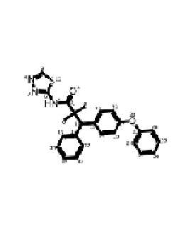 CC(C)(C(=O)Nc1nncs1)C(c1ccccc1)c1ccc(Oc2ccccc2)cc1